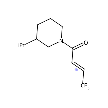 CC(C)C1CCCN(C(=O)/C=C/C(F)(F)F)C1